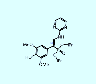 COc1cc(/C(=C/Nc2ncccn2)P(=O)(OC(C)C)OC(C)C)cc(OC)c1O